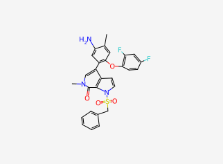 Cc1cc(Oc2ccc(F)cc2F)c(-c2cn(C)c(=O)c3c2ccn3S(=O)(=O)Cc2ccccc2)cc1N